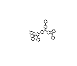 Cc1cc(C)c(B2c3ccccc3-c3ccccc3-c3cc(-c4ccc(N(c5ccc(-c6ccccc6)cc5)C5C=c6c(n(-c7ccccc7)c7ccccc67)=CC5)cc4)ccc32)c(C)c1